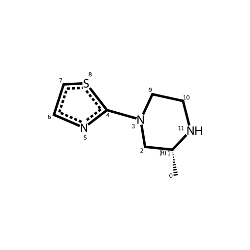 C[C@@H]1CN(c2nccs2)CCN1